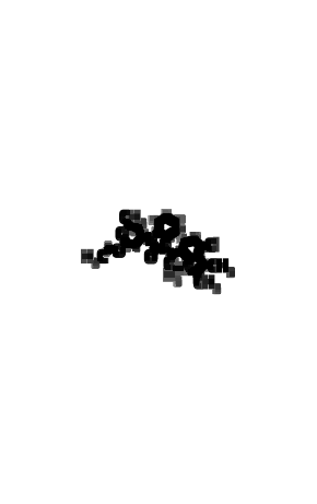 CCCC(CC(=O)OCC)n1c(=O)n(C(C)c2ccc(Cl)c3c(C)c(C)[nH]c23)c2ccccc21